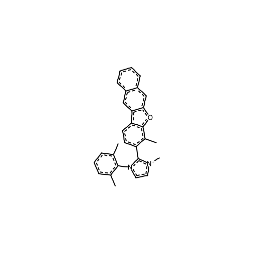 Cc1cccc(C)c1-n1cc[n+](C)c1-c1ccc2c(oc3cc4ccccc4cc32)c1C